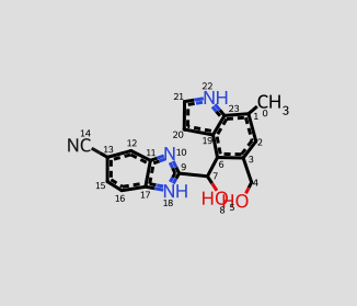 Cc1cc(CO)c(C(O)c2nc3cc(C#N)ccc3[nH]2)c2cc[nH]c12